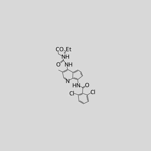 CCOC(=O)CNC(=O)Nc1c(C)cnc2c(NC(=O)c3c(Cl)cccc3Cl)cccc12